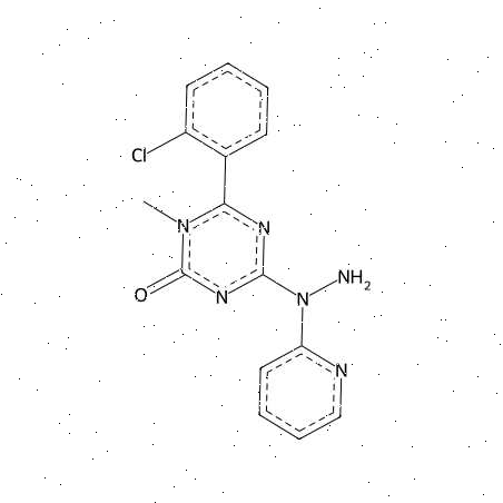 Cn1c(-c2ccccc2Cl)nc(N(N)c2ccccn2)nc1=O